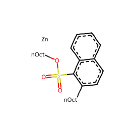 CCCCCCCCOS(=O)(=O)c1c(CCCCCCCC)ccc2ccccc12.[Zn]